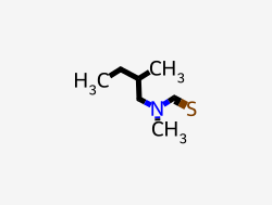 CCC(C)CN(C)C=S